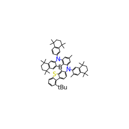 Cc1cc2c3c(c1)N(c1cc4c(cc1C)C(C)(C)CCC4(C)C)c1ccc4c(sc5cccc(C(C)(C)C)c54)c1B3c1cc3c(cc1N2c1ccc2c(c1)C(C)(C)CCC2(C)C)C(C)(C)CCC3(C)C